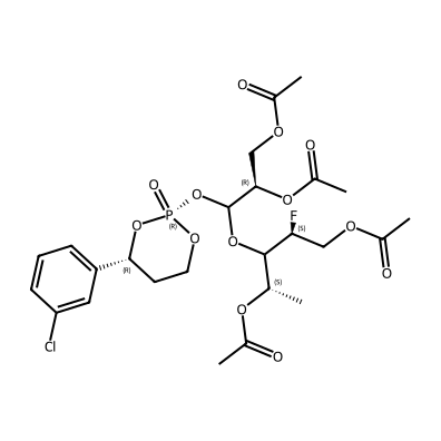 CC(=O)OC[C@H](F)C(OC(O[P@]1(=O)OCC[C@H](c2cccc(Cl)c2)O1)[C@@H](COC(C)=O)OC(C)=O)[C@H](C)OC(C)=O